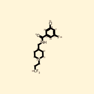 O=C(NCC1CCN(CCC(F)(F)F)CC1)c1cc(F)cc(Cl)c1